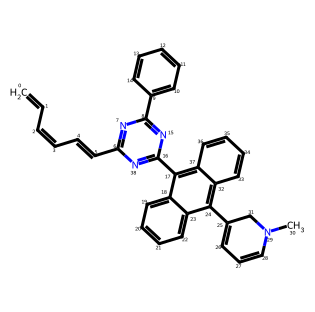 C=C/C=C\C=C\c1nc(-c2ccccc2)nc(-c2c3ccccc3c(C3=CC=CN(C)C3)c3ccccc23)n1